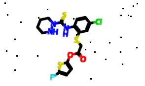 O=C(CSc1cc(Cl)ccc1NC(=S)N1CCCCN1)Oc1ccc(F)s1